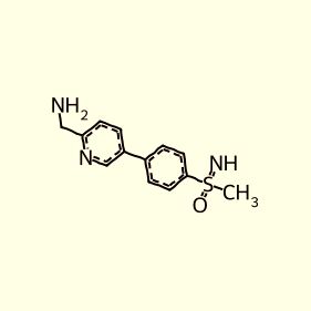 CS(=N)(=O)c1ccc(-c2ccc(CN)nc2)cc1